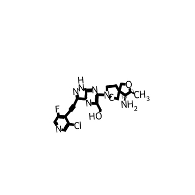 C[C@@H]1OCC2(CCN(c3nc4[nH]nc(C#Cc5c(F)cncc5Cl)c4nc3CO)CC2)[C@@H]1N